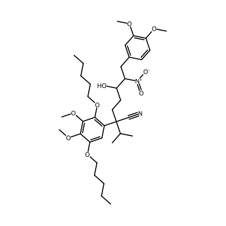 CCCCCOc1cc(C(C#N)(CCC(O)C(Cc2ccc(OC)c(OC)c2)[N+](=O)[O-])C(C)C)c(OCCCCC)c(OC)c1OC